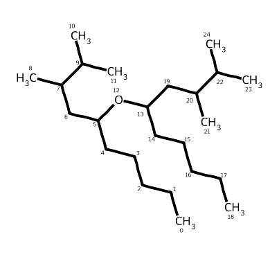 CCCCCC(CC(C)C(C)C)OC(CCCCC)CC(C)C(C)C